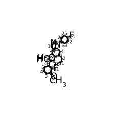 COc1cccc([C@H](O)[C@H]2CCCC3=Cc4c(cnn4-c4ccc(F)cc4)C[C@@]32C)c1F